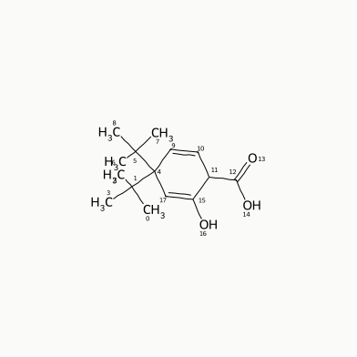 CC(C)(C)C1(C(C)(C)C)C=CC(C(=O)O)C(O)=C1